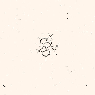 Cc1cc(C(C)(C)C)c(OC([CH2][Al])Oc2c(C(C)(C)C)cc(C)cc2C(C)(C)C)c(C(C)(C)C)c1